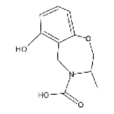 CC1COc2cccc(O)c2CN1C(=O)O